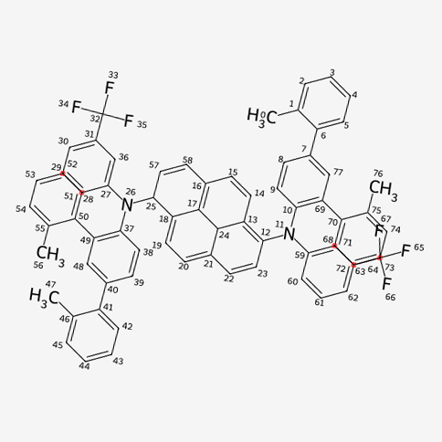 Cc1ccccc1-c1ccc(N(C2=C3C=CC4=C5C(=CC=C(C=C2)C35)C(N(c2cccc(C(F)(F)F)c2)c2ccc(-c3ccccc3C)cc2-c2ccccc2C)C=C4)c2cccc(C(F)(F)F)c2)c(-c2ccccc2C)c1